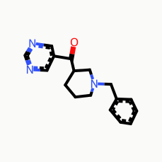 O=C(c1cncnc1)C1CCCN(Cc2ccccc2)C1